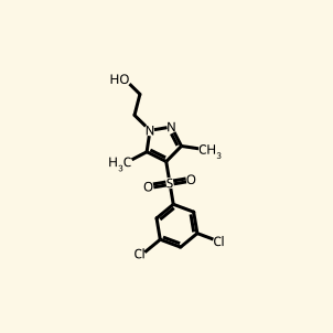 Cc1nn(CCO)c(C)c1S(=O)(=O)c1cc(Cl)cc(Cl)c1